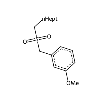 CCCCCCCCS(=O)(=O)Cc1cccc(OC)c1